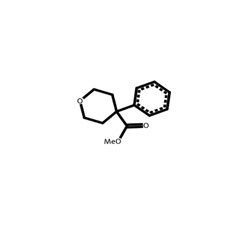 COC(=O)C1(c2ccccc2)CCOCC1